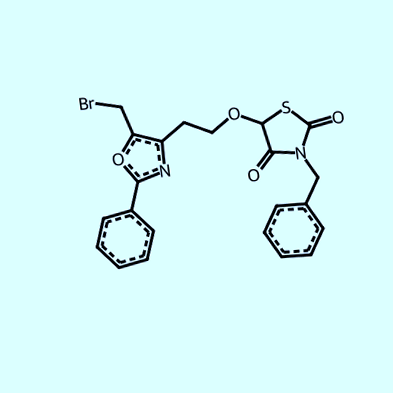 O=C1SC(OCCc2nc(-c3ccccc3)oc2CBr)C(=O)N1Cc1ccccc1